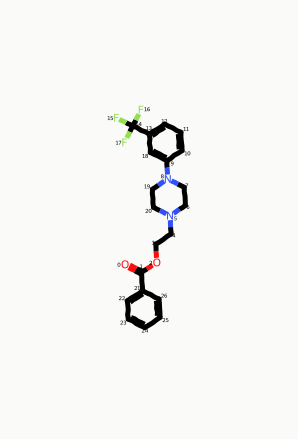 O=C(OCCN1CCN(c2cccc(C(F)(F)F)c2)CC1)c1ccccc1